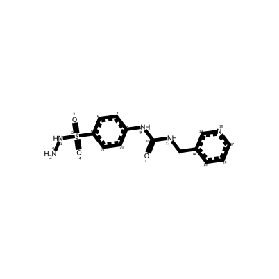 NNS(=O)(=O)c1ccc(NC(=O)NCc2cccnc2)cc1